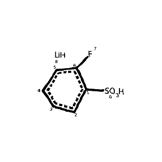 O=S(=O)(O)c1ccccc1F.[LiH]